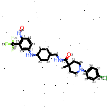 CC1(C(=O)NCC2CCC(Nc3ccc(N=O)c(C(F)(F)F)c3)CC2)CCN(c2ccc(Cl)cc2)CC1